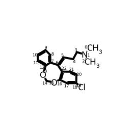 CN(C)CCC=C1c2ccccc2OCOc2cc(Cl)ccc21